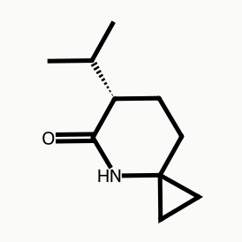 CC(C)[C@@H]1CCC2(CC2)NC1=O